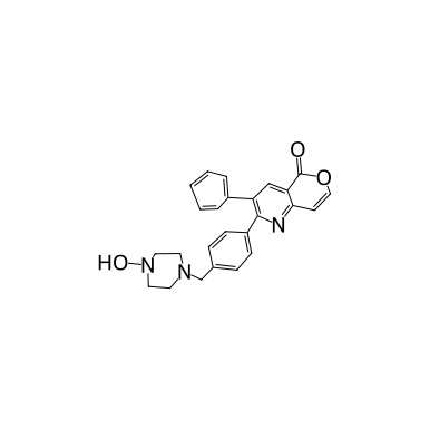 O=c1occc2nc(-c3ccc(CN4CCN(O)CC4)cc3)c(-c3ccccc3)cc12